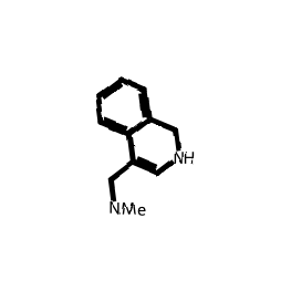 CNCC1=CNCc2ccccc21